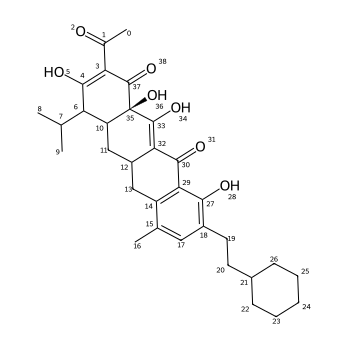 CC(=O)C1=C(O)C(C(C)C)C2CC3Cc4c(C)cc(CCC5CCCCC5)c(O)c4C(=O)C3=C(O)[C@@]2(O)C1=O